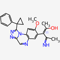 COc1cc2c(cc1/C(C(C)=N)=C(\C)O)ncc1nnc(C3(c4ccccc4)CC3)n12